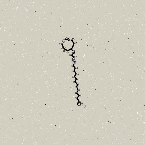 CCCCCCCCCCCCCCC/N=N/CCOC1CCCCCCCCCC1